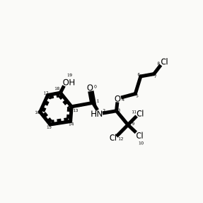 O=C(NC(OCCCCl)C(Cl)(Cl)Cl)c1ccccc1O